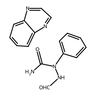 NC(=O)N(NC=O)c1ccccc1.c1ccc2nccnc2c1